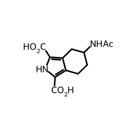 CC(=O)NC1CCc2c(C(=O)O)[nH]c(C(=O)O)c2C1